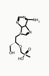 CP(=O)(O)CO[C@H](CO)CN1C=NC2C(N)=NC=NC21